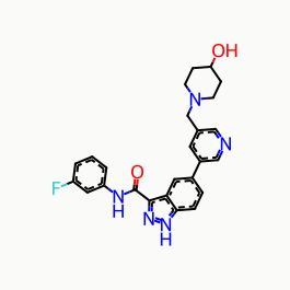 O=C(Nc1cccc(F)c1)c1n[nH]c2ccc(-c3cncc(CN4CCC(O)CC4)c3)cc12